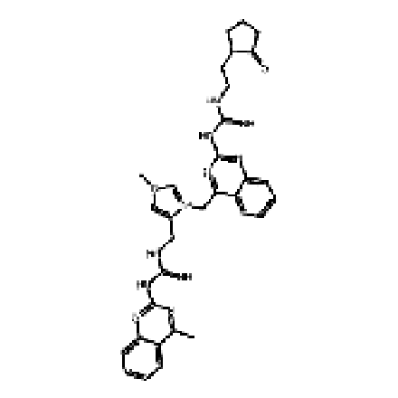 Cc1nc(NC(=N)NCc2cn(C)c[n+]2Cc2nc(NC(=N)NCCN3CCCC3=O)nc3ccccc23)nc2ccccc12